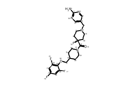 Nc1ncc(CN2CCC(F)(C(=O)N3CCC(COc4c(F)cc(F)cc4F)CC3)CC2)cn1